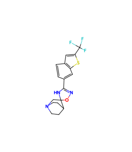 FC(F)(F)c1cc2ccc(C3=NOC4(CN5CCC4CC5)N3)cc2s1